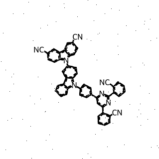 N#Cc1ccc2c(c1)c1cc(C#N)ccc1n2-c1ccc2c(c1)c1ccccc1n2-c1ccc(-c2cc(-c3ccccc3C#N)nc(-c3ccccc3C#N)n2)cc1